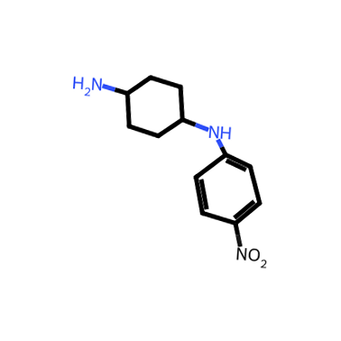 NC1CCC(Nc2ccc([N+](=O)[O-])cc2)CC1